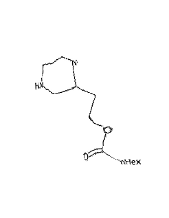 CCCCCCC(=O)OCCC1CNCC[N]1